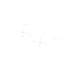 CNC(C)(C)CNC(C)(C)CCO